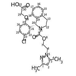 Cc1cc(C)n(CCOC(=O)N2CCc3ccccc3[C@H]2c2cc(Cl)ccc2OCC(=O)O)n1